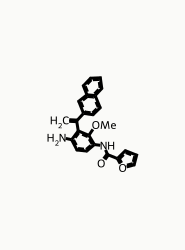 C=C(c1ccc2ccccc2c1)c1c(N)ccc(NC(=O)c2ccco2)c1OC